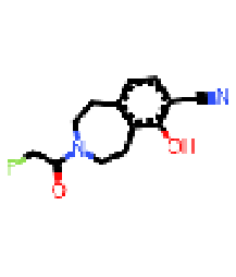 N#Cc1ccc2c(c1O)CCN(C(=O)CF)CC2